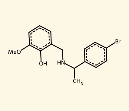 COc1cccc(CNC(C)c2ccc(Br)cc2)c1O